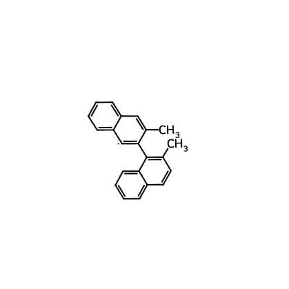 Cc1cc2ccccc2[c]c1-c1c(C)ccc2ccccc12